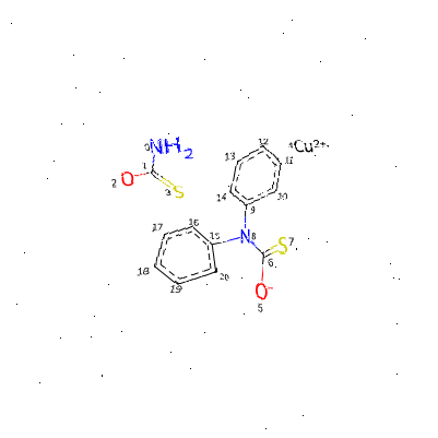 NC([O-])=S.[Cu+2].[O-]C(=S)N(c1ccccc1)c1ccccc1